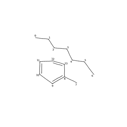 CCCCCCC.Cc1ccccc1